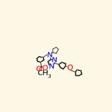 COC(=O)c1cccc(CN(c2ccnc(-c3ccc(OCc4ccccc4)cc3)n2)C2CCCC2)c1